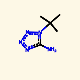 CC(C)(C)n1nnnc1N